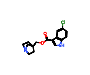 O=C(OCC12CCN(CC1)C2)c1c[nH]c2ccc(Cl)cc12